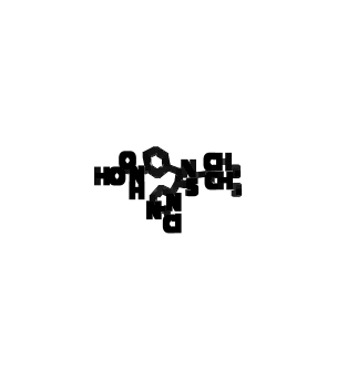 CC(C)c1nc(-c2cccc(NC(=O)O)c2)c(-c2ccnc(Cl)n2)s1